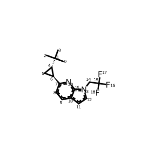 CC(C)(C)[C@H]1C[C@@H]1c1ccc2ccn(CC(F)(F)F)c2n1